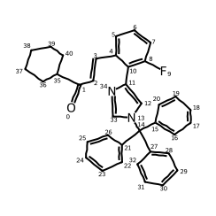 O=C(/C=C/c1cccc(F)c1-c1cn(C(c2ccccc2)(c2ccccc2)c2ccccc2)cn1)C1CCCCC1